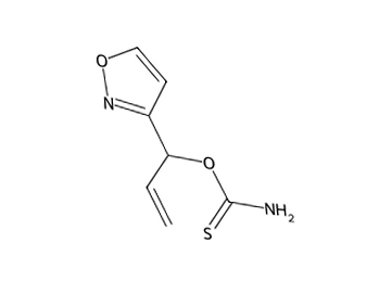 C=CC(OC(N)=S)c1ccon1